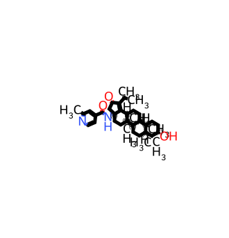 Cc1cc(C(=O)N[C@@]23CC[C@]4(C)[C@H](CC[C@@H]5[C@@]6(C)CC[C@H](O)C(C)(C)[C@@H]6CC[C@]54C)C2=C(C(C)C)C(=O)C3)ccn1